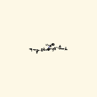 C=CC(=O)OCCCCOCC(COc1ccc(C(=O)OCCc2ccc(CCOC(=O)c3ccc(OCC(COCCCCOC(=O)C=C)OC(=O)C=C)cc3)c(/C=N/N(CCO)c3nc4ccccc4s3)c2)cc1)OC(=O)C=C